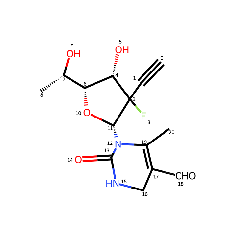 C#CC1(F)[C@@H](O)[C@@H]([C@H](C)O)O[C@H]1N1C(=O)NCC(C=O)=C1C